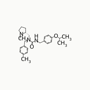 Cc1ccc(CN(C[C@H]2CCCN2C)C(=O)NCc2ccc(OC(C)C)cc2)cc1